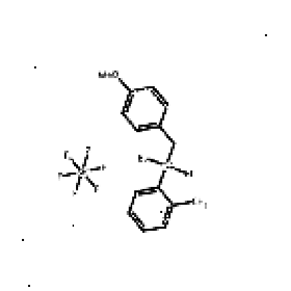 CC[N+](CC)(Cc1ccc(OC)cc1)c1ccccc1C.[F][Sb-]([F])([F])([F])([F])[F]